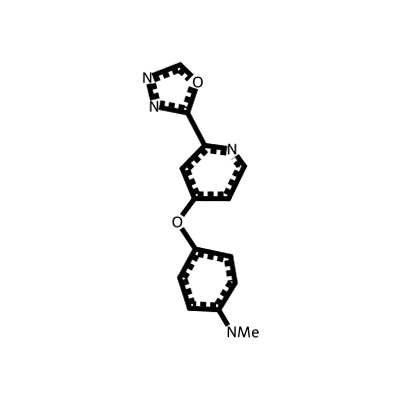 CNc1ccc(Oc2ccnc(-c3nnco3)c2)cc1